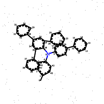 Cc1ccc(N(c2ccc(-c3ccccc3)cc2)c2c(-c3ccccc3)cc(-c3ccccc3)cc2-c2ccccc2)cc1